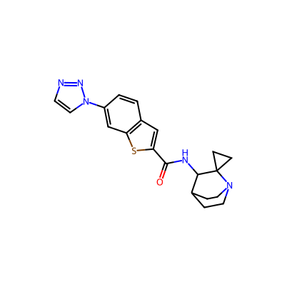 O=C(NC1C2CCN(CC2)C12CC2)c1cc2ccc(-n3ccnn3)cc2s1